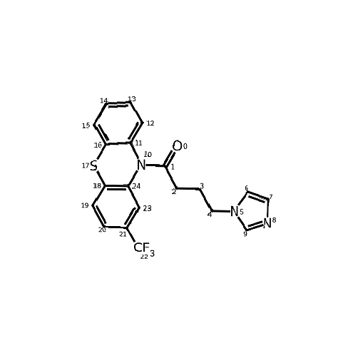 O=C(CCCn1ccnc1)N1c2ccccc2Sc2ccc(C(F)(F)F)cc21